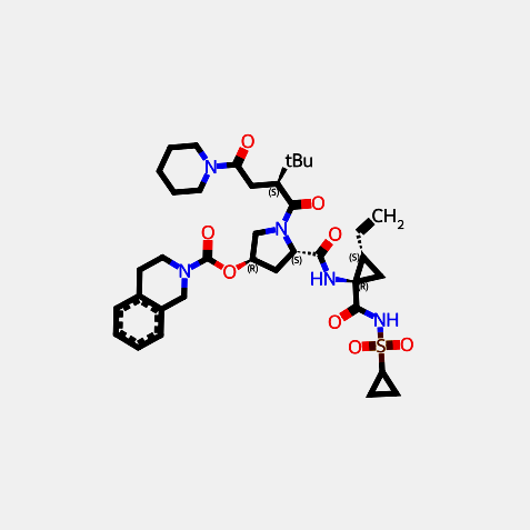 C=C[C@@H]1C[C@]1(NC(=O)[C@@H]1C[C@@H](OC(=O)N2CCc3ccccc3C2)CN1C(=O)[C@@H](CC(=O)N1CCCCC1)C(C)(C)C)C(=O)NS(=O)(=O)C1CC1